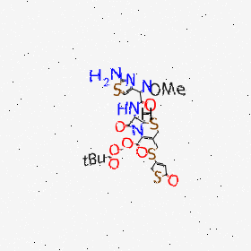 CO/N=C(\C(=O)N[C@@H]1C(=O)N2C(C(=O)OCOC(=O)C(C)(C)C)=C(CSC3=CC(=O)SC3)CS[C@H]12)c1csc(N)n1